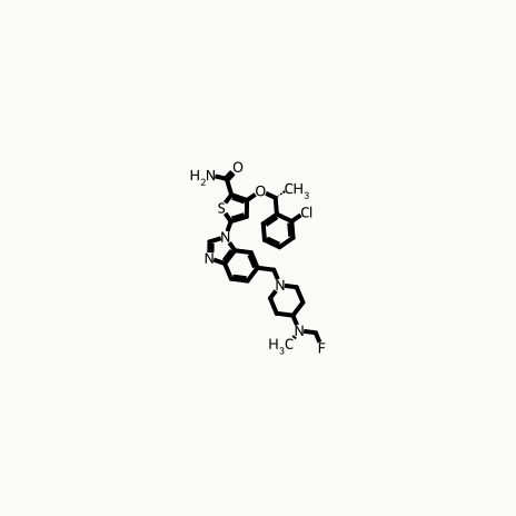 C[C@@H](Oc1cc(-n2cnc3ccc(CN4CCC(N(C)CF)CC4)cc32)sc1C(N)=O)c1ccccc1Cl